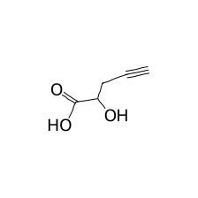 C#CCC(O)C(=O)O